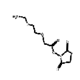 [CH2]COCCOCC(=O)ON1C(=O)CCC1=O